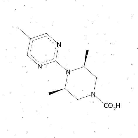 Cc1cnc(N2[C@H](C)CN(C(=O)O)C[C@@H]2C)nc1